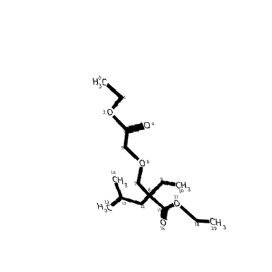 CCOC(=O)COCC(CC)(CC(C)C)C(=O)OCC